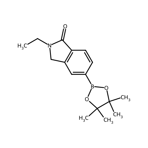 CCN1Cc2cc(B3OC(C)(C)C(C)(C)O3)ccc2C1=O